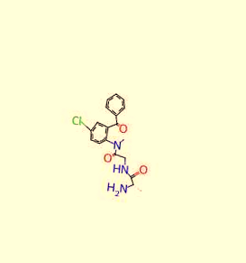 C[C@H](N)C(=O)NCC(=O)N(C)c1ccc(Cl)cc1C(=O)c1ccccc1